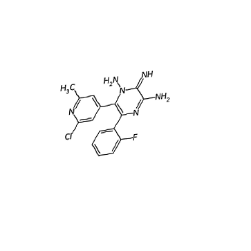 Cc1cc(-c2c(-c3ccccc3F)nc(N)c(=N)n2N)cc(Cl)n1